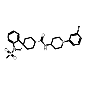 CS(=O)(=O)N1C[C@]2(CC[C@@H](C(=O)NC3CCN(c4cccc(F)c4)CC3)CC2)c2ccccc21